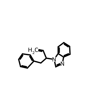 C=CC(Cc1ccccc1)n1cnc2ccccc21